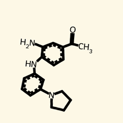 CC(=O)c1ccc(Nc2cccc(N3CCCC3)c2)c(N)c1